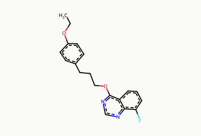 CCOc1ccc(CCCOc2ncnc3c(F)cccc23)cc1